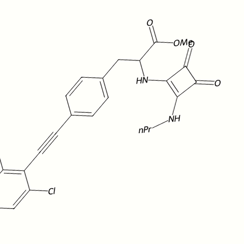 CCCNc1c(NC(Cc2ccc(C#Cc3c(Cl)cccc3Cl)cc2)C(=O)OC)c(=O)c1=O